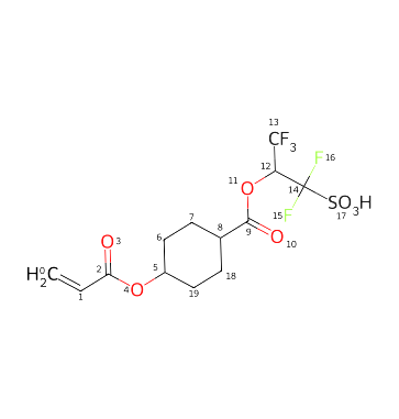 C=CC(=O)OC1CCC(C(=O)OC(C(F)(F)F)C(F)(F)S(=O)(=O)O)CC1